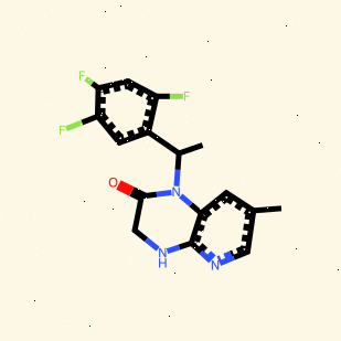 Cc1cnc2c(c1)N(C(C)c1cc(F)c(F)cc1F)C(=O)CN2